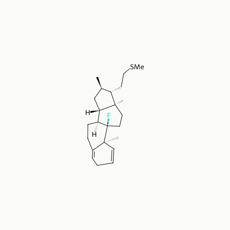 CSCC[C@H]1[C@H](C)C[C@H]2[C@@H]3CCC4=CCC=C[C@]4(C)[C@@]3(F)CC[C@]12C